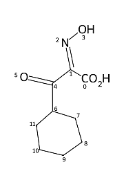 O=C(O)/C(=N\O)C(=O)C1CCCCC1